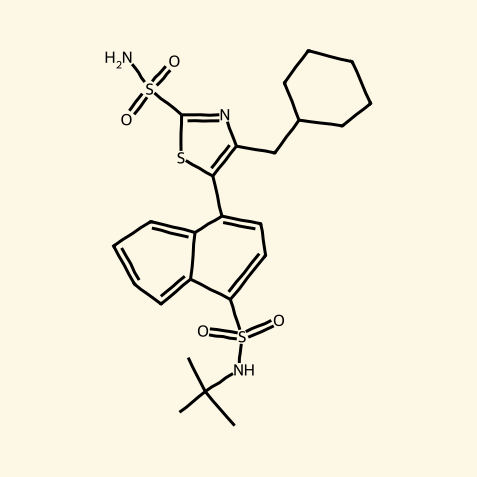 CC(C)(C)NS(=O)(=O)c1ccc(-c2sc(S(N)(=O)=O)nc2CC2CCCCC2)c2ccccc12